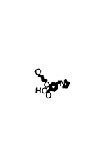 COCCCCOc1cc(CN2CCCC2)ccc1C(=O)O